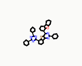 c1ccc(-c2nc(-c3ccccc3)nc(-c3cccc4c3sc3c(-c5cccc6c5oc5ccccc56)nc(-c5ccccc5)nc34)n2)cc1